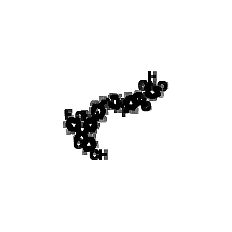 Cc1cc(C2COc3cc(O)ccc3C2c2ccc(N3CCC(CN4CCN(c5cc6c(cc5F)C(=O)N([C@H]5CCC(=O)NC5=O)C6)CC4)CC3)c(F)c2)ccc1F